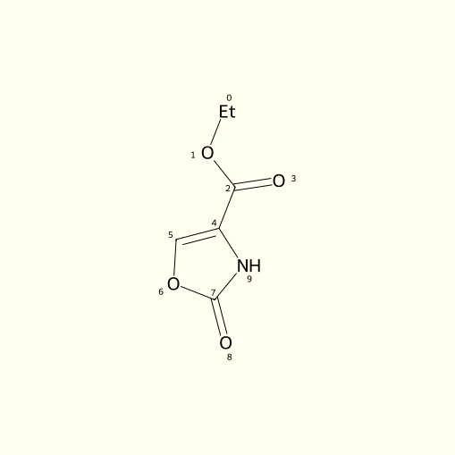 CCOC(=O)c1coc(=O)[nH]1